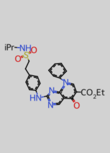 CCOC(=O)c1cn(-c2ccccc2)c2nc(Nc3ccc(CCS(=O)(=O)NC(C)C)cc3)ncc2c1=O